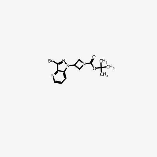 CC(C)(C)OC(=O)N1CC(n2nc(Br)c3ncccc32)C1